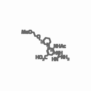 COCCOC[C@@H]1CCCN([C@@H]2C=C(C(=O)O)C[C@H](NC(=N)N)[C@H]2NC(C)=O)C1